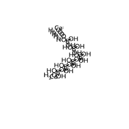 O.O.O.O.O.OB(O)O.OB(O)O.OB(O)O.OB(O)O.OB(O)O.OB(O)O.[Ca].[Ca]